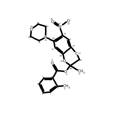 Cc1ccccc1C(=O)OC1(C)CCc2cc([N+](=O)[O-])c(N3CCOCC3)cc2O1